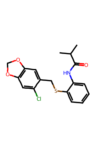 CC(C)C(=O)Nc1ccccc1SCc1cc2c(cc1Cl)OCO2